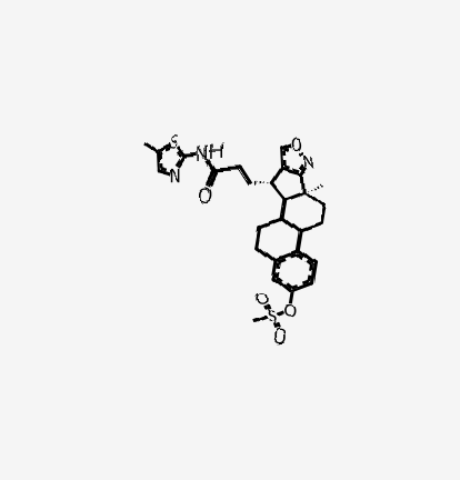 Cc1cnc(NC(=O)CC[C@@H]2c3conc3[C@@]3(C)CCC4c5ccc(OS(C)(=O)=O)cc5CCC4C23)s1